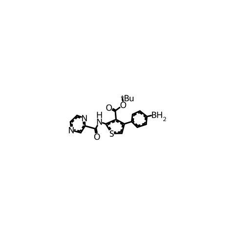 Bc1ccc(-c2csc(NC(=O)c3cnccn3)c2C(=O)OC(C)(C)C)cc1